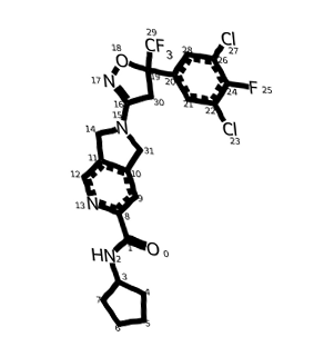 O=C(NC1CCCC1)c1cc2c(cn1)CN(C1=NOC(c3cc(Cl)c(F)c(Cl)c3)(C(F)(F)F)C1)C2